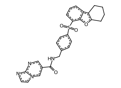 O=C(NCc1ccc(S(=O)(=O)c2cccc3c4c(oc23)CCCC4)cc1)c1cnc2nccn2c1